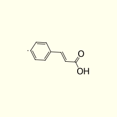 O=C(O)/C=C/c1cc[c]cc1